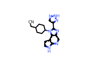 N#CCC1CCC(n2c(-c3cn[nH]n3)nc3cnc4[nH]ccc4c32)CC1